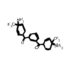 NC1(C(F)(F)F)C=CC(C(=O)c2cccc(C(=O)C3C=CC(N)(C(F)(F)F)C=C3)c2)C=C1